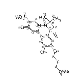 COCCCOc1cc2c(cc1Cl)-c1cc(=O)c(C(=O)O)cn1N1[C@H]2CC1(C)C